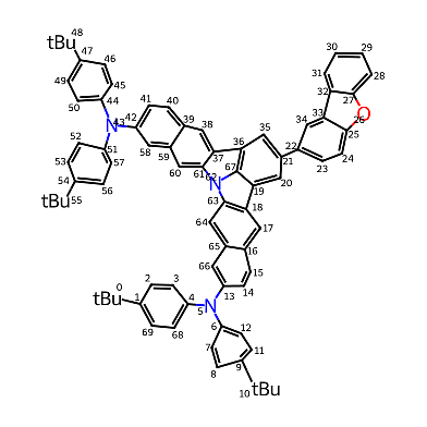 CC(C)(C)c1ccc(N(c2ccc(C(C)(C)C)cc2)c2ccc3cc4c5cc(-c6ccc7oc8ccccc8c7c6)cc6c7cc8ccc(N(c9ccc(C(C)(C)C)cc9)c9ccc(C(C)(C)C)cc9)cc8cc7n(c4cc3c2)c56)cc1